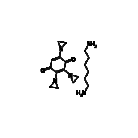 NCCCCCCN.O=C1C=C(N2CC2)C(=O)C(N2CC2)=C1N1CC1